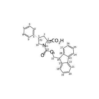 O=C(O)[C@@H]1C[C@@H](c2ccccc2)CN1C(=O)OCC1c2ccccc2-c2ccccc21